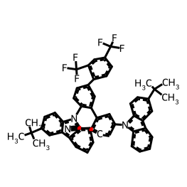 CC(C)(C)c1ccc2c(c1)c1ccccc1n2-c1ccc(C#N)c(-c2cc(-c3ccc(C(F)(F)F)cc3C(F)(F)F)ccc2-n2c3ccccc3c3cc(C(C)(C)C)ccc32)c1